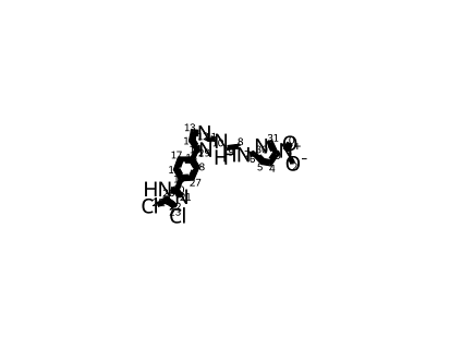 O=[N+]([O-])c1ccc(NCCNc2nccc(-c3ccc(-c4nc(Cl)c(Cl)[nH]4)cc3)n2)nc1